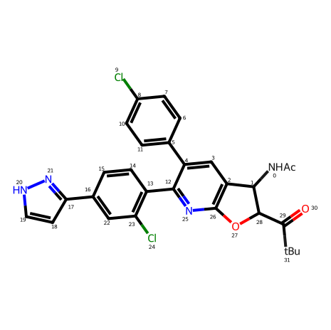 CC(=O)NC1c2cc(-c3ccc(Cl)cc3)c(-c3ccc(-c4cc[nH]n4)cc3Cl)nc2OC1C(=O)C(C)(C)C